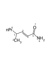 CCCC(C)C=CC(N)=O